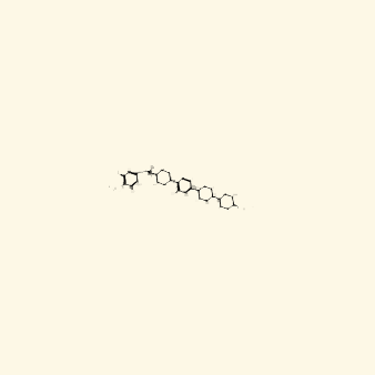 CCCCCC1CCC(C2CCC(c3ccc(C4CCC(C(F)(F)Oc5cc(F)c(C#N)c(F)c5)CC4)c(F)c3)CC2)CC1